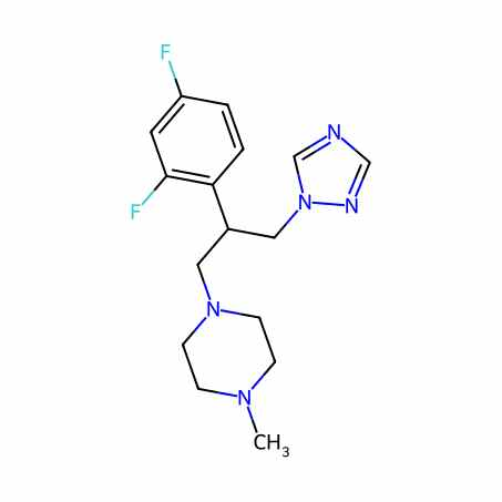 CN1CCN(CC(Cn2cncn2)c2ccc(F)cc2F)CC1